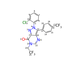 O=c1c2nn(-c3ccccc3Cl)c(-c3ccc(C(F)(F)F)cc3)c2ncn1CC(F)(F)F